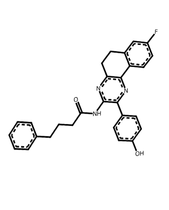 O=C(CCCc1ccccc1)Nc1nc2c(nc1-c1ccc(O)cc1)-c1ccc(F)cc1CC2